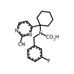 N#Cc1nccc(C2(N(Cc3cccc(F)c3)C(=O)O)CCCCC2)n1